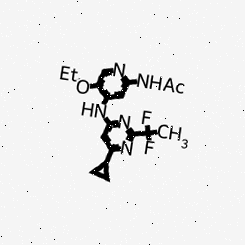 CCOc1cnc(NC(C)=O)cc1Nc1cc(C2CC2)nc(C(C)(F)F)n1